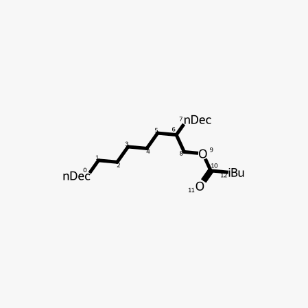 CCCCCCCCCCCCCCCC(CCCCCCCCCC)COC(=O)C(C)CC